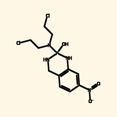 O=[N+]([O-])c1ccc2c(c1)N[P](O)(N(CCCl)CCCl)NC2